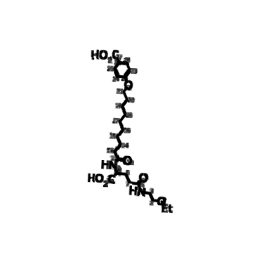 CCOCCNC(=O)CC[C@H](NC(=O)CCCCCCCCCOc1ccc(C(=O)O)cc1)C(=O)O